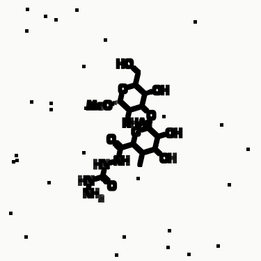 CO[C@@H]1OC(CO)[C@@H](O)C(O[C@@H]2OC(C(=O)NNC(=O)NN)C(C)C(O)C2O)C1NC(C)=O